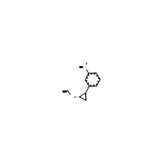 O=CO[C@@H]1CC1c1cccc([N+](=O)[O-])c1